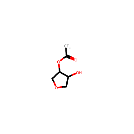 O=C(OC1COCC1O)C(F)(F)F